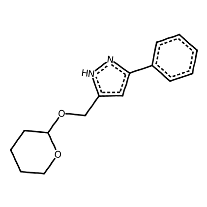 c1ccc(-c2cc(COC3CCCCO3)[nH]n2)cc1